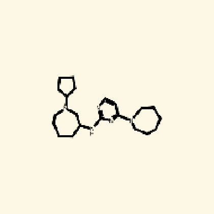 c1cc(N2CCCCCC2)nc(NC2CCCCN(C3CCCC3)C2)n1